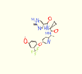 C=C/N=C\C(=C/N)C(=O)NC1(C(=O)NC(C)c2ccc(Oc3ccc(OC)cc3C(F)(F)F)cn2)CC1